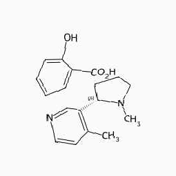 Cc1ccncc1[C@@H]1CCCN1C.O=C(O)c1ccccc1O